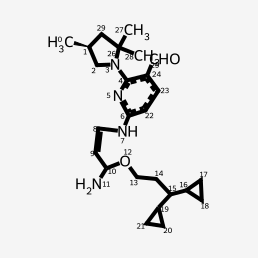 C[C@@H]1CN(c2nc(N/C=C\C(N)OCCC(C3CC3)C3CC3)ccc2C=O)C(C)(C)C1